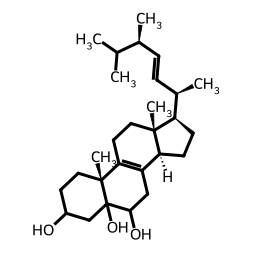 CC(C)[C@@H](C)/C=C/[C@@H](C)[C@H]1CC[C@H]2C3=C(CC[C@]12C)[C@@]1(C)CCC(O)CC1(O)C(O)C3